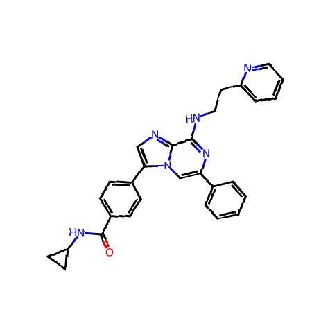 O=C(NC1CC1)c1ccc(-c2cnc3c(NCCc4ccccn4)nc(-c4ccccc4)cn23)cc1